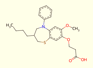 CCCCC1CSc2cc(OCCC(=O)O)c(OC)cc2N(c2ccccc2)C1